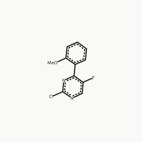 COc1ccccc1-c1nc(Cl)ncc1F